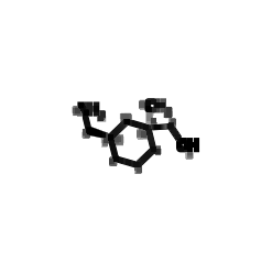 C[C@]1(CO)CCC[C@@H](CN)C1